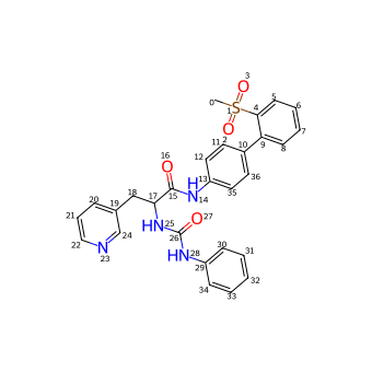 CS(=O)(=O)c1ccccc1-c1ccc(NC(=O)C(Cc2cccnc2)NC(=O)Nc2ccccc2)cc1